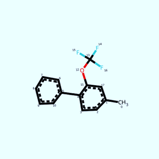 Cc1ccc(-c2ccccc2)c(OC(F)(F)F)c1